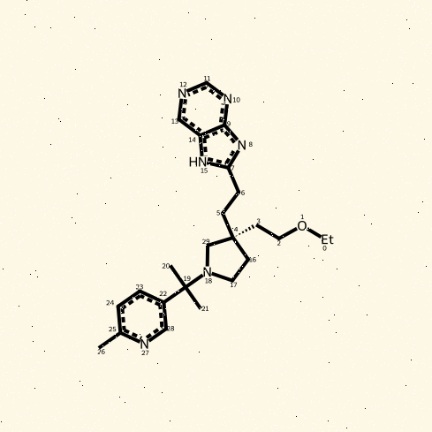 CCOCC[C@]1(CCc2nc3ncncc3[nH]2)CCN(C(C)(C)c2ccc(C)nc2)C1